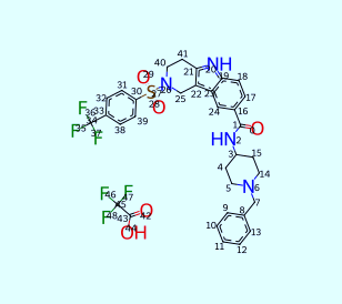 O=C(NC1CCN(Cc2ccccc2)CC1)c1ccc2[nH]c3c(c2c1)CN(S(=O)(=O)c1ccc(C(F)(F)F)cc1)CC3.O=C(O)C(F)(F)F